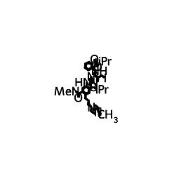 CNC(=O)c1cc(Nc2ncc(CI)c(Nc3ccccc3S(=O)(=O)C(C)C)n2)c(OC(C)C)cc1CCCN1CCN(C)CC1